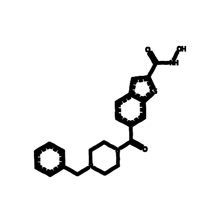 O=C(NO)c1cc2ccc(C(=O)N3CCN(Cc4ccccc4)CC3)cc2s1